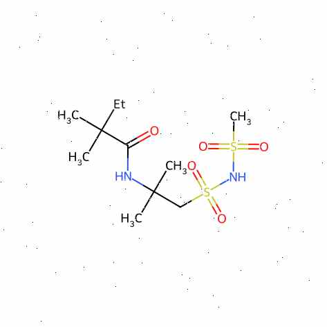 CCC(C)(C)C(=O)NC(C)(C)CS(=O)(=O)NS(C)(=O)=O